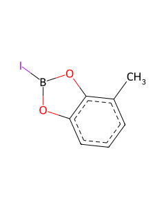 Cc1cccc2c1OB(I)O2